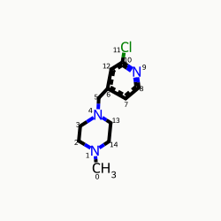 CN1CCN(Cc2ccnc(Cl)c2)CC1